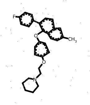 Cc1ccc2c(Oc3ccc(OCCN4CCCCC4)cc3)c(-c3ccc(F)cc3)ccc2c1